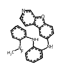 CN(F)c1ccccc1Nc1ccccc1Nc1ccc2oc3cnccc3c2c1